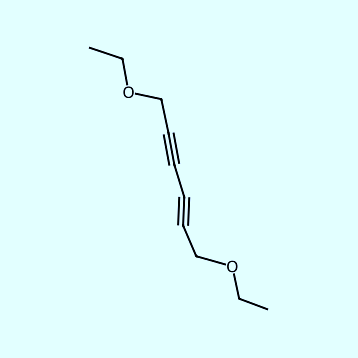 CCOCC#CC#CCOCC